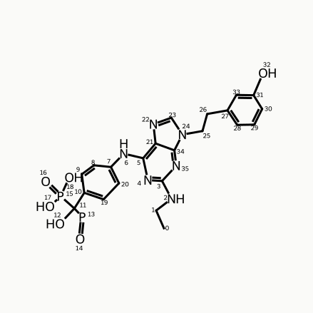 CCNc1nc(Nc2ccc(C(O)(P=O)P(=O)(O)O)cc2)c2ncn(CCc3cccc(O)c3)c2n1